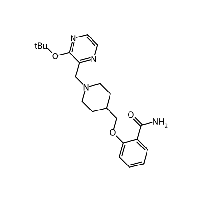 CC(C)(C)Oc1nccnc1CN1CCC(COc2ccccc2C(N)=O)CC1